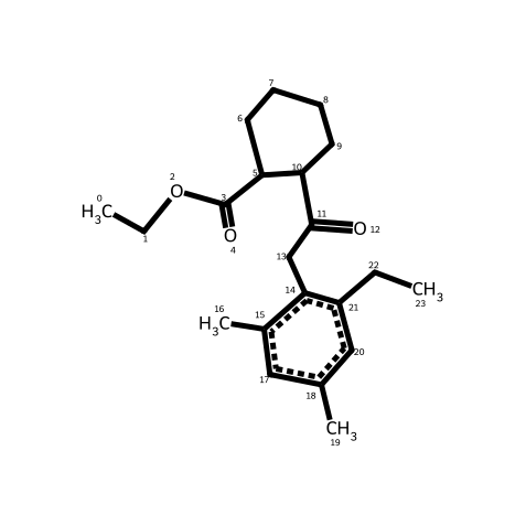 CCOC(=O)C1CCCCC1C(=O)Cc1c(C)cc(C)cc1CC